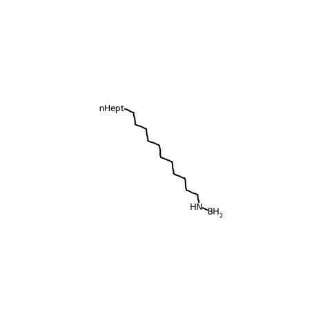 BNCCCCCCCCCCCCCCCCCC